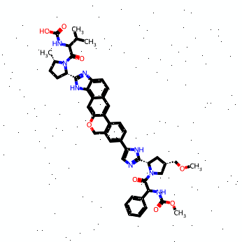 COC[C@H]1C[C@@H](c2ncc(-c3ccc4c(c3)COc3cc5c(ccc6nc([C@@H]7CC[C@H](C)N7C(=O)C(NC(=O)O)C(C)C)[nH]c65)cc3-4)[nH]2)N(C(=O)C(NC(=O)OC)c2ccccc2)C1